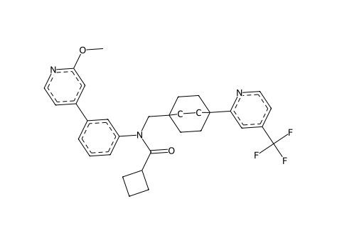 COc1cc(-c2cccc(N(CC34CCC(c5cc(C(F)(F)F)ccn5)(CC3)CC4)C(=O)C3CCC3)c2)ccn1